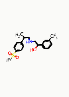 CC(CNCC(O)c1cccc(C(F)(F)F)c1)c1ccc(S(=O)(=O)C(C)C)cc1